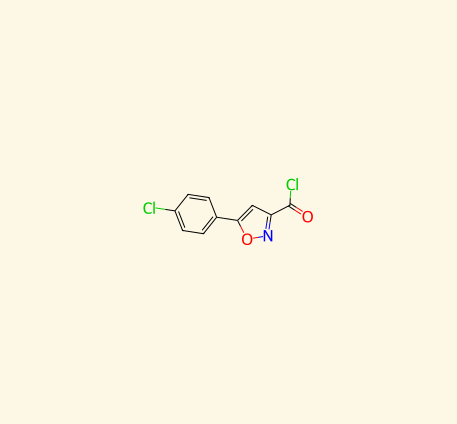 O=C(Cl)c1cc(-c2ccc(Cl)cc2)on1